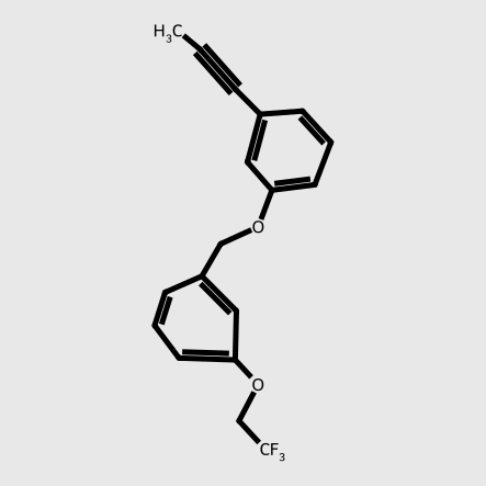 CC#Cc1cccc(OCc2cccc(OCC(F)(F)F)c2)c1